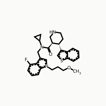 COCCCn1cc(CN(C(=O)[C@H]2CNCC[C@@H]2c2csc3ccccc23)C2CC2)c2c(F)cccc21